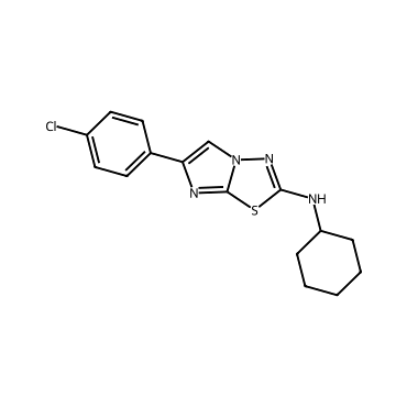 Clc1ccc(-c2cn3nc(NC4CCCCC4)sc3n2)cc1